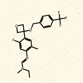 CCN(C)C=Nc1cc(F)c(C2(OCc3ccc(C(F)(F)F)cc3)COC2)cc1C